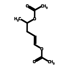 CC(=O)OC=CCC(C)OC(C)=O